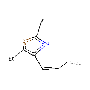 C=C/C=C\c1nc(C)sc1CC